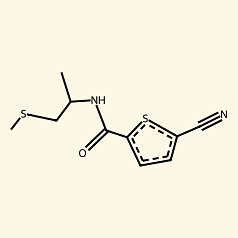 CSCC(C)NC(=O)c1ccc(C#N)s1